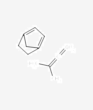 C1=C2CCC(=C1)C2.C=C=C(C)C